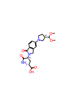 COC(OC)[C@@H]1CCN(c2ccc3c(c2)CN([C@@H](CCC(=O)O)C(N)=O)C3=O)C1